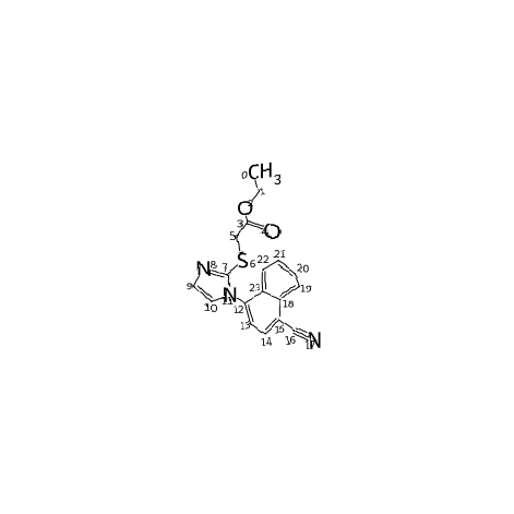 CCOC(=O)CSc1nccn1-c1ccc(C#N)c2ccccc12